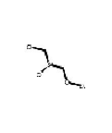 CCOC[S@@+]([O-])CCl